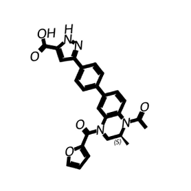 CC(=O)N1c2ccc(-c3ccc(-c4cc(C(=O)O)[nH]n4)cc3)cc2N(C(=O)c2ccco2)C[C@@H]1C